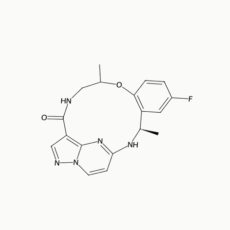 CC1CNC(=O)c2cnn3ccc(nc23)N[C@H](C)c2cc(F)ccc2O1